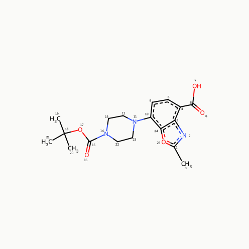 Cc1nc2c(C(=O)O)ccc(N3CCN(C(=O)OC(C)(C)C)CC3)c2o1